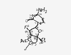 CC[C@]1(COI)OC(n2ccc(N)nc2=O)[C@H](F)[C@@H]1OC(C)=O